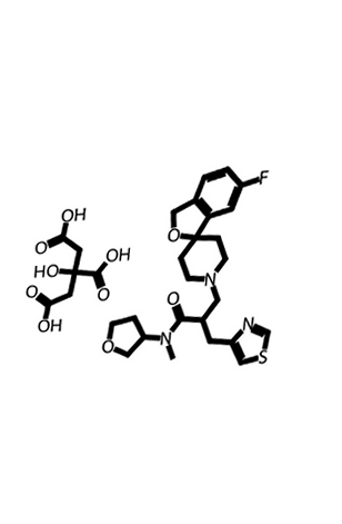 CN(C(=O)C(Cc1cscn1)CN1CCC2(CC1)OCc1ccc(F)cc12)C1CCOC1.O=C(O)CC(O)(CC(=O)O)C(=O)O